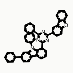 c1ccc(-c2ccc3c4cccc(-c5nc(-c6ccccc6)nc(-c6ccc7oc8ccccc8c7c6)n5)c4n(-c4ccccc4)c3c2)cc1